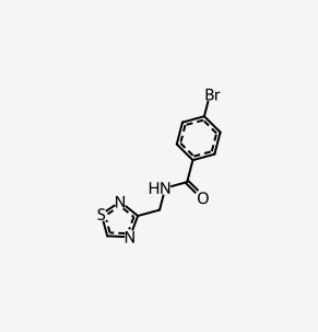 O=C(NCc1ncsn1)c1ccc(Br)cc1